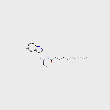 CCCCCCCCCC(=O)NC(CC)Cc1c[nH]c2ccc(F)cc12